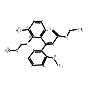 CCOC(=O)/C=C(/c1ccccc1OC)c1cccc(C)c1OCOC